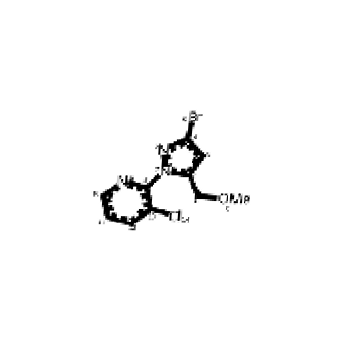 COCc1cc(Br)nn1-c1ncccc1Cl